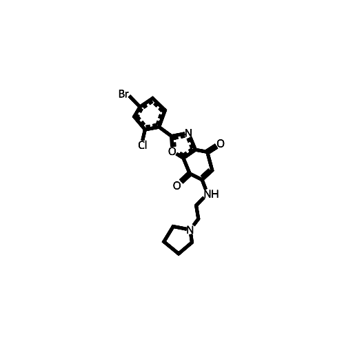 O=C1C=C(NCCN2CCCC2)C(=O)c2oc(-c3ccc(Br)cc3Cl)nc21